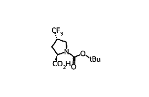 CC(C)(C)OC(=O)N1C[C@@H](C(F)(F)F)C[C@@H]1C(=O)O